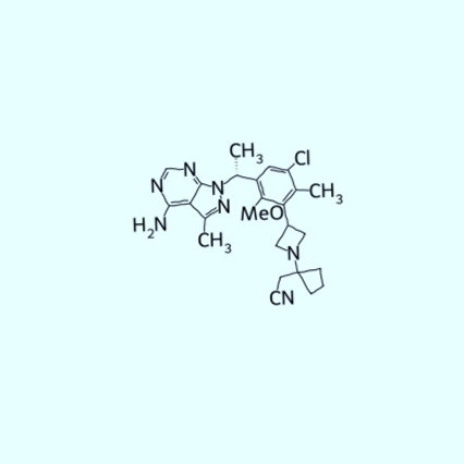 COc1c([C@@H](C)n2nc(C)c3c(N)ncnc32)cc(Cl)c(C)c1C1CN(C2(CC#N)CCC2)C1